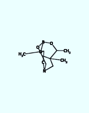 CC1CN2CC3OB(O1)OC(C)C3(C)C2